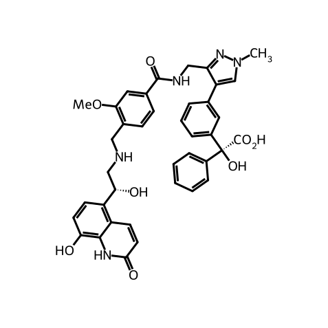 COc1cc(C(=O)NCc2nn(C)cc2-c2cccc([C@](O)(C(=O)O)c3ccccc3)c2)ccc1CNC[C@H](O)c1ccc(O)c2[nH]c(=O)ccc12